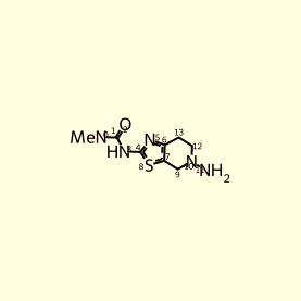 CNC(=O)Nc1nc2c(s1)CN(N)CC2